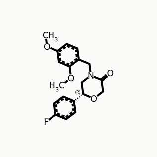 COc1ccc(CN2C[C@@H](c3ccc(F)cc3)OCC2=O)c(OC)c1